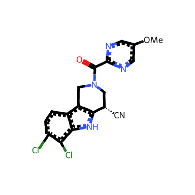 COc1cnc(C(=O)N2Cc3c([nH]c4c(Cl)c(Cl)ccc34)[C@@H](C#N)C2)nc1